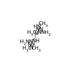 CCNc1nc(N)nc(N(C)CCCCNc2nc(N)nc(N(C)C)n2)n1